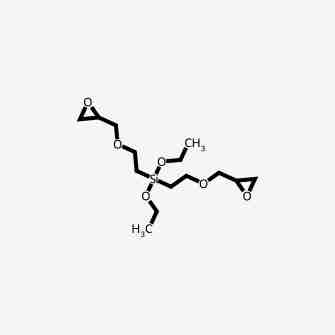 CCO[Si](CCOCC1CO1)(CCOCC1CO1)OCC